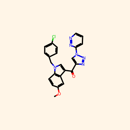 COc1ccc2c(c1)c(C(=O)c1cn(-c3cccnn3)nn1)cn2Cc1ccc(Cl)cc1